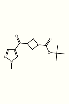 Cn1cc(C(=O)C2CN(C(=O)OC(C)(C)C)C2)cn1